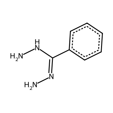 NN=C(NN)c1ccccc1